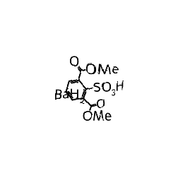 COC(=O)c1cccc(C(=O)OC)c1S(=O)(=O)O.[BaH2]